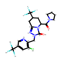 O=C(C1CC(C(F)(F)F)Cc2nn(Cc3ncc(C(F)(F)F)cc3Cl)c(=O)n21)N1CCCC1